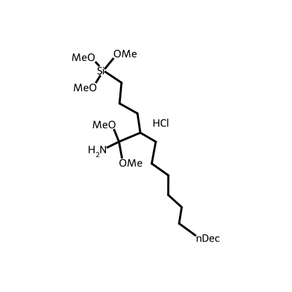 CCCCCCCCCCCCCCCCC(CCC[Si](OC)(OC)OC)C(N)(OC)OC.Cl